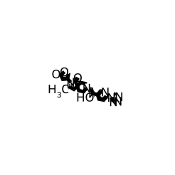 C[C@@H]1CC2(CCN(C[C@H](O)c3ccc(-n4cnnn4)nc3)CC2)C(=O)N1C1=CC(=O)OC1